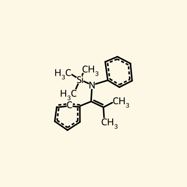 CC(C)=C(c1ccccc1)N(c1ccccc1)[Si](C)(C)C